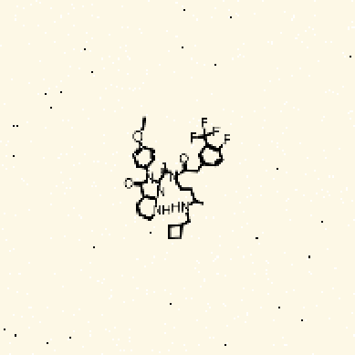 CCOc1ccc(-n2c([C@@H](C)N(CCC(C)NCC3CCC3)C(=O)Cc3ccc(F)c(C(F)(F)F)c3)nc3c(c2=O)CCCN3)cc1